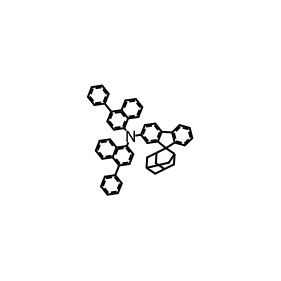 c1ccc(-c2ccc(N(c3ccc4c(c3)C3(c5ccccc5-4)C4CC5CC(C4)CC3C5)c3ccc(-c4ccccc4)c4ccccc34)c3ccccc23)cc1